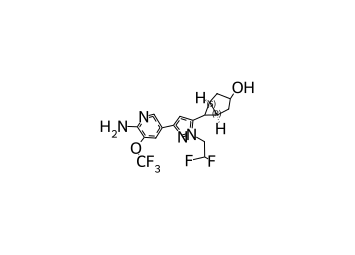 Nc1ncc(-c2cc(C3[C@H]4CC(O)C[C@@H]34)n(CC(F)F)n2)cc1OC(F)(F)F